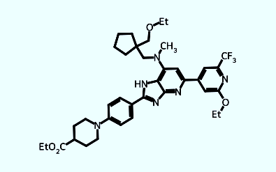 CCOCC1(CN(C)c2cc(-c3cc(OCC)nc(C(F)(F)F)c3)nc3nc(-c4ccc(N5CCC(C(=O)OCC)CC5)cc4)[nH]c23)CCCC1